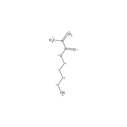 C=C(C)C(=O)OCCCCC#N